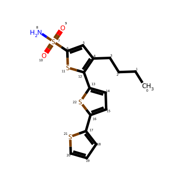 CCCCc1cc(S(N)(=O)=O)sc1-c1ccc(-c2cccs2)s1